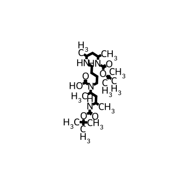 CC(CC(C)NC(=O)OC(C)(C)C)NCCCCN(C(=O)O)C(C)CC(C)NC(=O)OC(C)(C)C